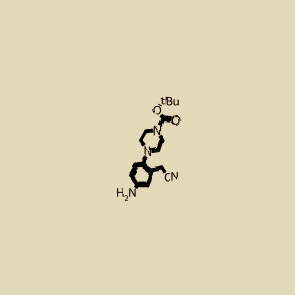 CC(C)(C)OC(=O)N1CCN(c2ccc(N)cc2CC#N)CC1